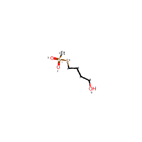 CCS(=O)(=O)SCCCCO